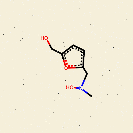 CN(O)Cc1ccc(CO)o1